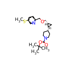 CSc1ccc(COC[C@@H]2C[C@@H]2C2CCN(C(=O)OC(C)(C)C)CC2)nc1